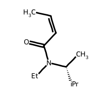 C/C=C\C(=O)N(CC)[C@H](C)C(C)C